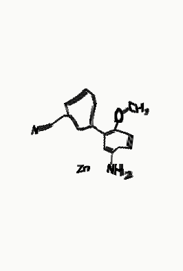 COc1ccc(N)cc1-c1cccc(C#N)c1.[Zn]